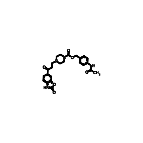 CC(=O)Nc1ccc(COC(=O)N2CCN(CCC(=O)c3ccc4[nH]c(=O)oc4c3)CC2)cc1